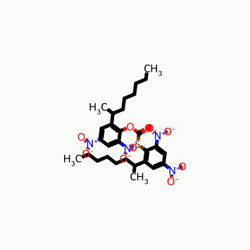 CCCCCCC(C)c1cc([N+](=O)[O-])cc([N+](=O)[O-])c1OC(=O)Sc1c(C(C)CCCCCC)cc([N+](=O)[O-])cc1[N+](=O)[O-]